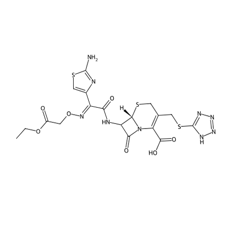 CCOC(=O)CON=C(C(=O)NC1C(=O)N2C(C(=O)O)=C(CSc3nnn[nH]3)CS[C@@H]12)c1csc(N)n1